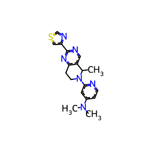 CC1c2cnc(-c3cscn3)nc2CCN1c1cc(N(C)C)ccn1